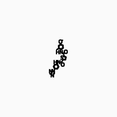 COc1ccc(NC(=O)c2ccc(C(=O)Nc3ccc(-n4cncn4)cc3)s2)c(C)c1